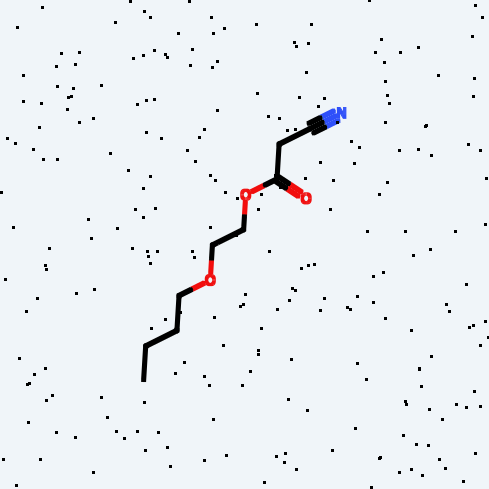 CCCCOCCOC(=O)CC#N